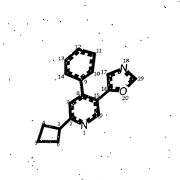 [c]1nc(C2CCC2)cc(-c2ccccc2)c1-c1cnco1